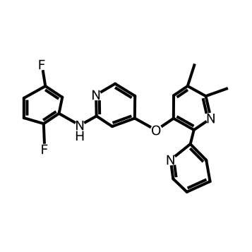 Cc1cc(Oc2ccnc(Nc3cc(F)ccc3F)c2)c(-c2ccccn2)nc1C